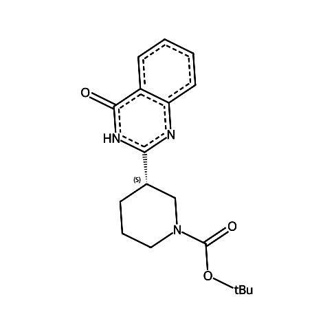 CC(C)(C)OC(=O)N1CCC[C@H](c2nc3ccccc3c(=O)[nH]2)C1